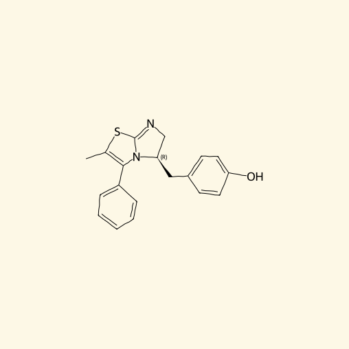 CC1=C(c2ccccc2)N2C(=NC[C@H]2Cc2ccc(O)cc2)S1